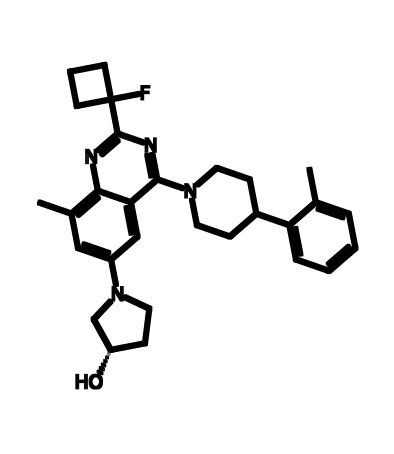 Cc1ccccc1C1CCN(c2nc(C3(F)CCC3)nc3c(C)cc(N4CC[C@H](O)C4)cc23)CC1